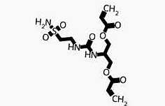 C=CC(=O)OCC(COC(=O)C=C)NC(=O)NCCS(N)(=O)=O